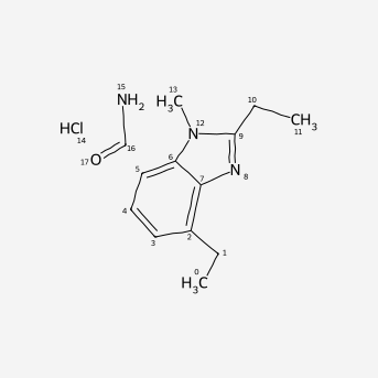 CCc1cccc2c1nc(CC)n2C.Cl.NC=O